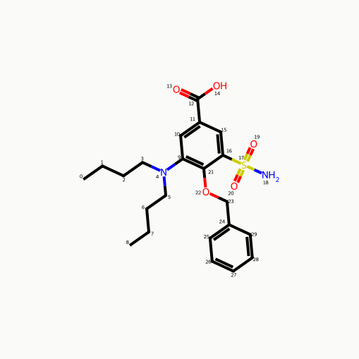 CCCCN(CCCC)c1cc(C(=O)O)cc(S(N)(=O)=O)c1OCc1ccccc1